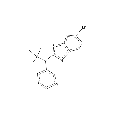 CC(C)(C)C(c1cccnc1)c1nc2ccc(Br)cc2s1